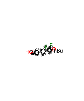 CCCCOc1ccc(C2CCC(C3CCC(CO)CC3)CC2)c(F)c1F